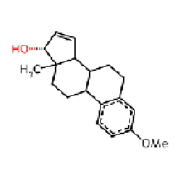 COc1ccc2c(c1)CCC1C2CCC2(C)C1C=C[C@H]2O